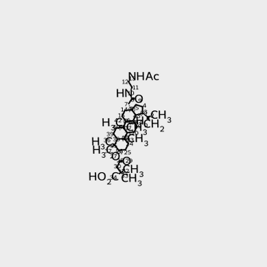 C=C(C)[C@@H]1CC[C@]2(CC(=O)NCCNC(C)=O)CC[C@]3(C)[C@H](CCC4[C@@]5(C)CC[C@H](OC(=O)CC(C)(C)C(=O)O)C(C)(C)C5CC[C@]43C)C12